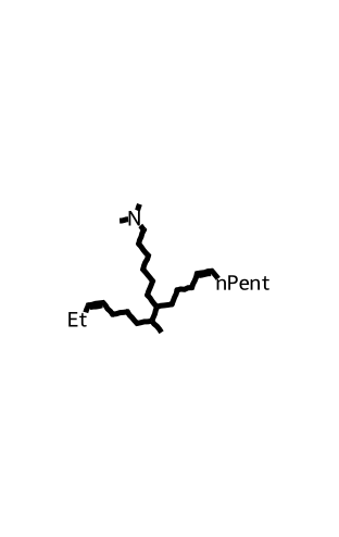 CC/C=C\CCCC(C)C(CCC/C=C\CCCCC)CCCCCCN(C)C